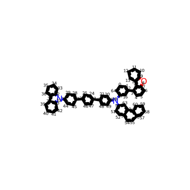 c1cc(-c2cccc3oc4ccccc4c23)cc(N(c2ccc(-c3ccc(-c4ccc(-n5c6ccccc6c6ccccc65)cc4)cc3)cc2)c2ccc3ccc4ccccc4c3c2)c1